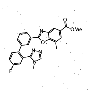 COC(=O)c1cc(C)c2oc(-c3cccc(-c4ccc(F)cc4-c4nncn4C)c3)nc2c1